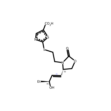 CC[C@H](O)/C=C/[C@H]1COC(=O)N1CCSc1ncc(C(=O)O)s1